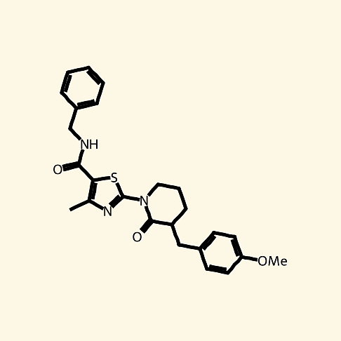 COc1ccc(CC2CCCN(c3nc(C)c(C(=O)NCc4ccccc4)s3)C2=O)cc1